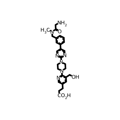 CN(Cc1cccc(-c2cnc(N3CCN(c4ncc(CCC(=O)O)cc4CO)CC3)nc2)c1)C(=O)CN